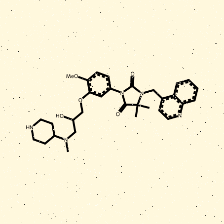 COc1ccc(N2C(=O)N(Cc3ccnc4ccccc34)C(C)(C)C2=O)cc1OCC(O)CN(C)C1CCNCC1